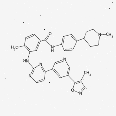 Cc1ccc(C(=O)Nc2ccc(C3CCN(C)CC3)cc2)cc1Nc1nccc(-c2cncc(-c3oncc3C)c2)n1